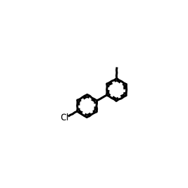 Cc1cccc(-c2ccc(Cl)cc2)c1